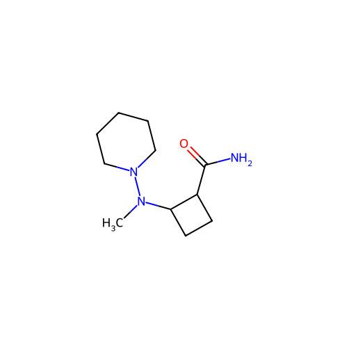 CN(C1CCC1C(N)=O)N1CCCCC1